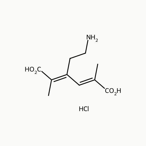 CC(=CC(CCN)=C(C)C(=O)O)C(=O)O.Cl